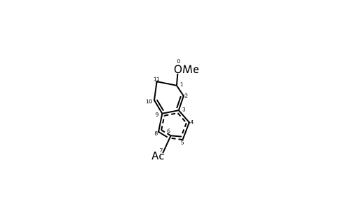 COC1C=c2ccc(C(C)=O)cc2=CC1